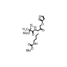 COC(C)(C)C(=O)N[C@@H](CCCCNC(=O)OC(C)(C)C)C(=O)COc1ccon1